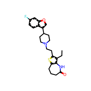 CCc1c(CCN2CCC(c3coc4cc(F)ccc34)CC2)sc2c1NC(=O)CCC2